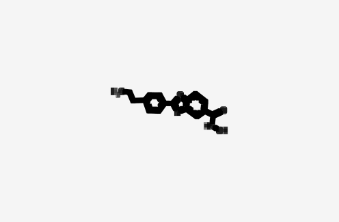 CCCc1ccc(-c2nc3cc(C(=O)NO)ccc3o2)cc1